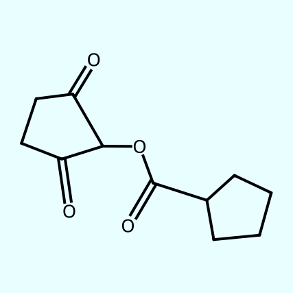 O=C(OC1C(=O)CCC1=O)C1CCCC1